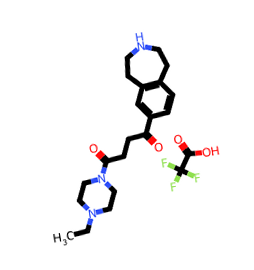 CCN1CCN(C(=O)CCC(=O)c2ccc3c(c2)CCNCC3)CC1.O=C(O)C(F)(F)F